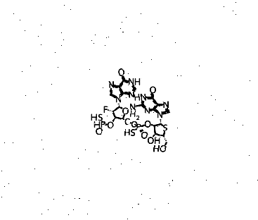 Nc1nc2c(ncn2[C@@H]2S[C@H](CO)[C@@H](O)[C@H]2OP(=O)(S)OC[C@H]2O[C@@H](n3cnc4c(=O)[nH]cnc43)[C@@H](F)[C@@H]2O[PH](=O)S)c(=O)[nH]1